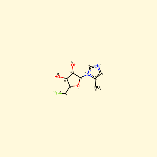 O=[N+]([O-])c1cncn1C1OC(C[18F])C(O)C1O